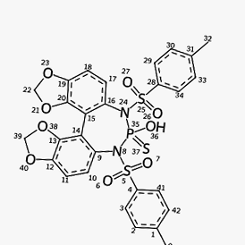 Cc1ccc(S(=O)(=O)N2c3ccc4c(c3-c3c(ccc5c3OCO5)N(S(=O)(=O)c3ccc(C)cc3)P2(O)=S)OCO4)cc1